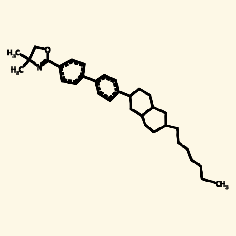 CCCCCCCC1CCC2CC(c3ccc(-c4ccc(C5=NC(C)(C)CO5)cc4)cc3)CCC2C1